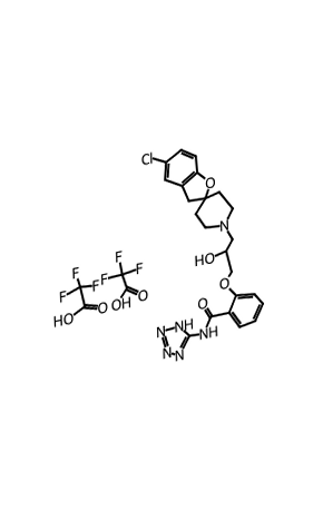 O=C(Nc1nnn[nH]1)c1ccccc1OCC(O)CN1CCC2(CC1)Cc1cc(Cl)ccc1O2.O=C(O)C(F)(F)F.O=C(O)C(F)(F)F